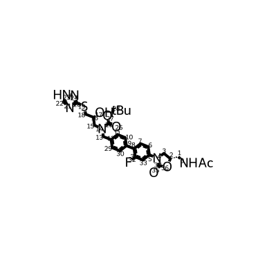 CC(=O)NC[C@H]1CN(c2ccc(-c3ccc(CN(C[C@H](O)CSc4nc[nH]n4)C(=O)OC(C)(C)C)cc3)c(F)c2)C(=O)O1